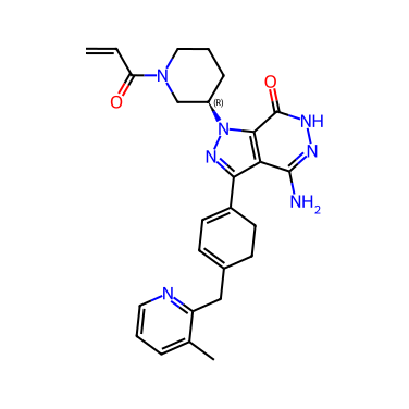 C=CC(=O)N1CCC[C@@H](n2nc(C3=CC=C(Cc4ncccc4C)CC3)c3c(N)n[nH]c(=O)c32)C1